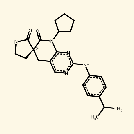 CC(C)c1ccc(Nc2ncc3c(n2)N(C2CCCC2)C(=O)[C@]2(CCNC2=O)C3)cc1